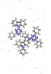 c1ccc(-c2nc(-c3ccc4c(c3)c3c5c6ccccc6n(-c6ccccc6)c5ccc3n4-c3nc(-c4ccccc4)nc(-c4ccccc4)n3)nc(-n3c4ccccc4c4ccccc43)n2)cc1